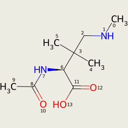 CNCC(C)(C)[C@H](NC(C)=O)C(=O)O